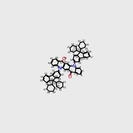 O=c1c2ccccc2n(-c2ccc3c(c2)-c2ccccc2C3(C2CCCCC2)C2CCCCC2)c2cc3c(=O)c4ccccc4n(-c4ccc5c(c4)-c4ccccc4C5(C4CCCCC4)C4CCCCC4)c3cc12